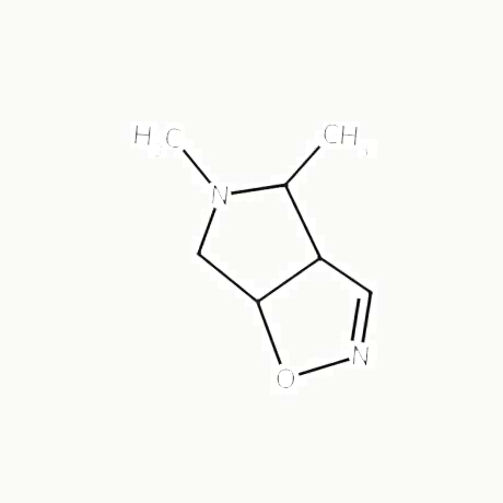 CC1C2C=NOC2CN1C